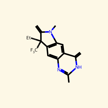 C=C1NC(C)=Nc2cc3c(cc21)N(C)C(=C)C3(CC)C(F)(F)F